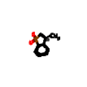 C[C@H]1CS(=O)(=O)c2ccccc21